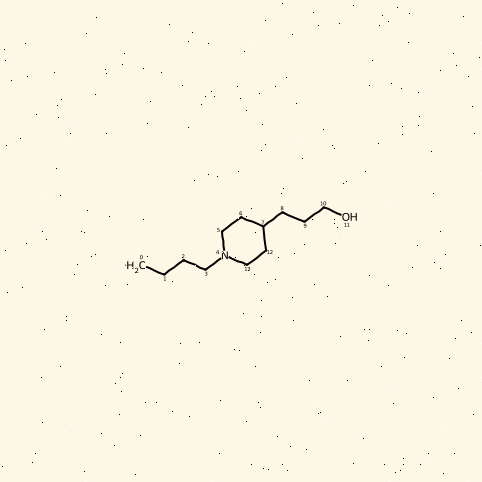 [CH2]CCCN1CCC(CCCO)CC1